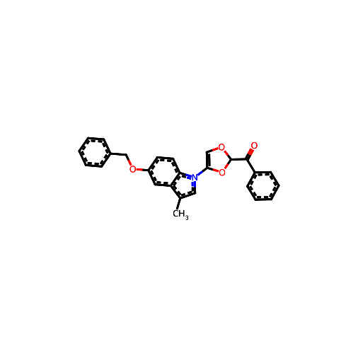 Cc1cn(C2=COC(C(=O)c3ccccc3)O2)c2ccc(OCc3ccccc3)cc12